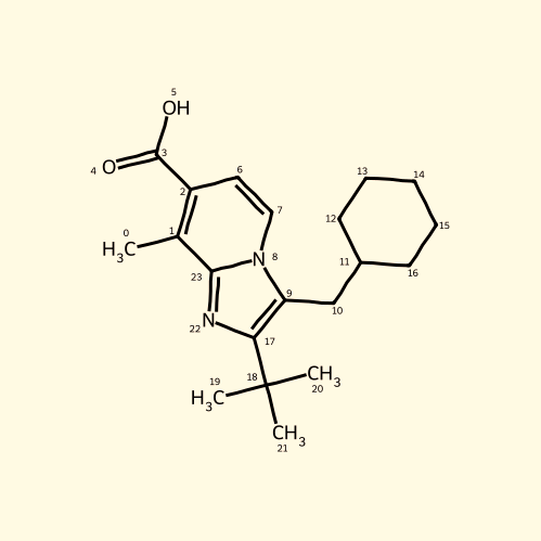 Cc1c(C(=O)O)ccn2c(CC3CCCCC3)c(C(C)(C)C)nc12